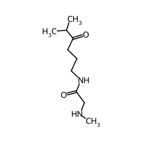 CNCC(=O)NCCCC(=O)C(C)C